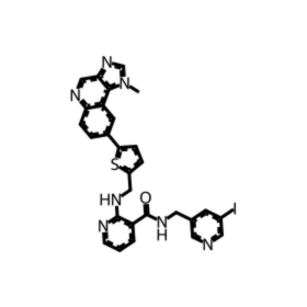 Cn1cnc2cnc3ccc(-c4ccc(CNc5ncccc5C(=O)NCc5cncc(I)c5)s4)cc3c21